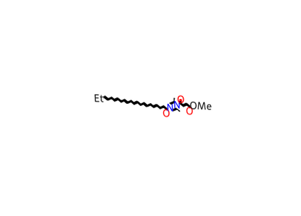 CCC=CCC=CCC=CCC=CCC=CCC=CCCC(=O)N1C[C@@H](C)N(C(=O)C=CC(=O)OC)[C@@H](C)C1